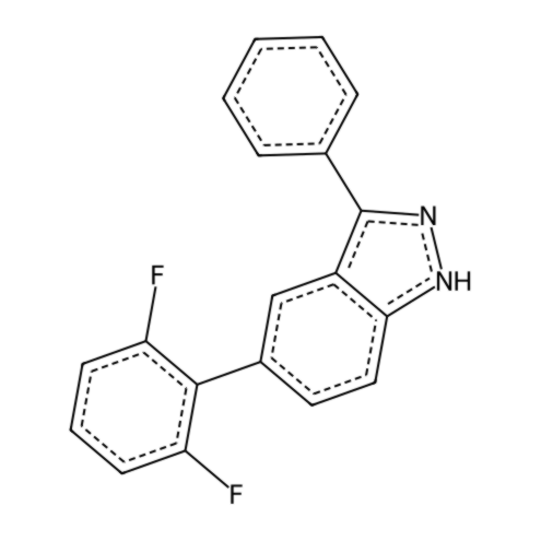 Fc1cccc(F)c1-c1ccc2[nH]nc(-c3ccccc3)c2c1